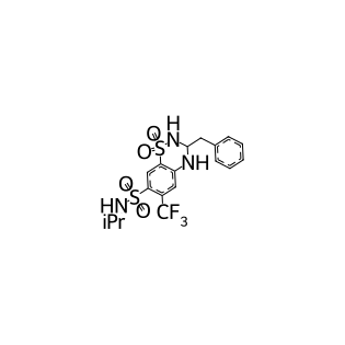 CC(C)NS(=O)(=O)c1cc2c(cc1C(F)(F)F)NC(Cc1ccccc1)NS2(=O)=O